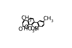 Cc1ccc(S(=O)(=O)O)c(-c2ccc3c(C)cc(=O)oc3c2O)c1